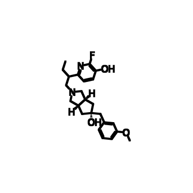 CCC(CN1C[C@@H]2C[C@@](O)(Cc3cccc(OC)c3)C[C@@H]2C1)c1ccc(O)c(F)n1